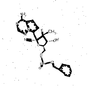 C[C@@]1(F)[C@H](O)[C@@H](CO[PH](=O)OCc2ccccc2)O[C@@]1(C#N)c1ccc2c(N)ncnn12